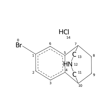 Brc1ccc2c(c1)C1CCC2CNC1.Cl